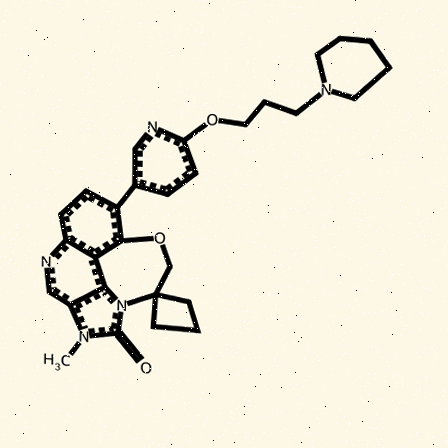 Cn1c(=O)n2c3c4c(c(-c5ccc(OCCCN6CCCCC6)nc5)ccc4ncc31)OCC21CCC1